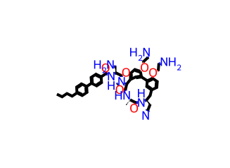 CCCCc1ccc(-c2ccc(C(=O)N[C@@H](CN)C(=O)N(C)[C@@H]3C(=O)N[C@@H](C)C(=O)N[C@H](CC#N)Cc4ccc(OCCN)c(c4)-c4cc3ccc4OCCN)cc2)cc1